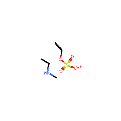 CCNC.CCOS(=O)(=O)O